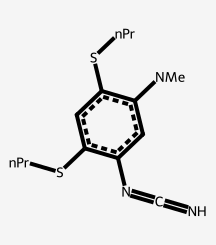 CCCSc1cc(SCCC)c(NC)cc1N=C=N